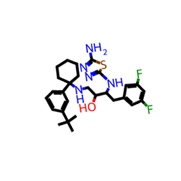 CC(C)(C)c1cccc(C2(NCC(O)C(Cc3cc(F)cc(F)c3)Nc3nnc(N)s3)CCCCC2)c1